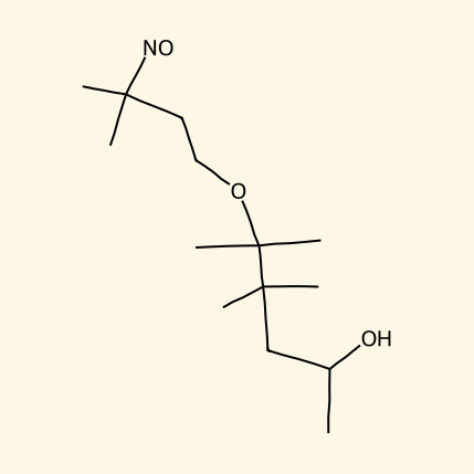 CC(O)CC(C)(C)C(C)(C)OCCC(C)(C)N=O